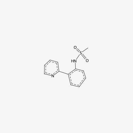 CS(=O)(=O)Nc1ccccc1-c1ccccn1